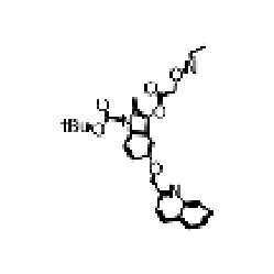 CC=NOCC(=O)Oc1c(C)n(C(=O)OC(C)(C)C)c2ccc(OCc3ccc4ccccc4n3)cc12